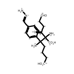 NN=Cc1ccc(C(N)(CCCC(=O)O)C(N)(C(=O)O)C(=O)CCC=O)cc1